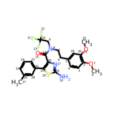 COc1ccc(CCN(CC(F)(F)F)C(=O)c2nc(N)sc2-c2cccc(C)c2)cc1OC